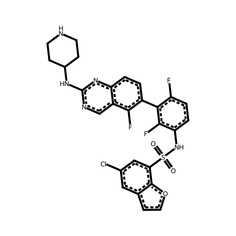 O=S(=O)(Nc1ccc(F)c(-c2ccc3nc(NC4CCNCC4)ncc3c2F)c1F)c1cc(Cl)cc2ccoc12